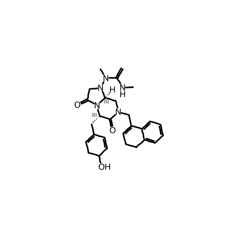 C=C(NC)N(C)N1CC(=O)N2[C@@H](CC3=CCC(O)C=C3)C(=O)N(CC3=CCCc4ccccc43)C[C@@H]21